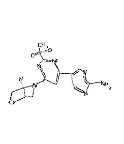 CS(=O)(=O)c1nc(-c2cnc(N)nc2)cc(N2CC3OC[C@H]32)n1